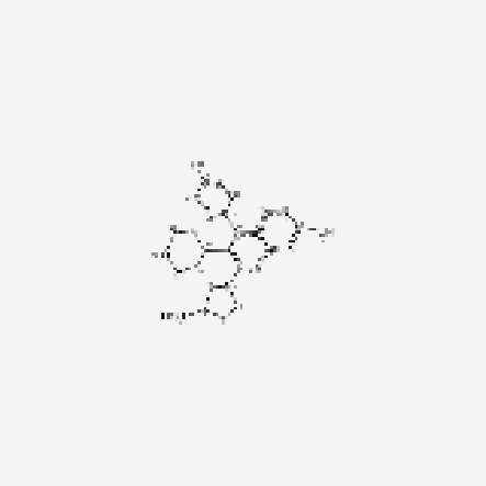 O=C(O)C1CCN(c2nc3cc(O)ccc3c(-c3ccc(F)cc3)c2C2CCOCC2)C1